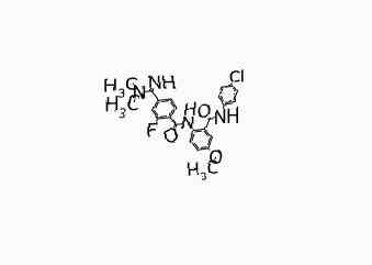 COc1ccc(NC(=O)c2ccc(C(=N)N(C)C)cc2F)c(C(=O)Nc2ccc(Cl)cc2)c1